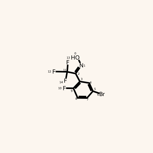 O/N=C(/c1cc(Br)ccc1F)C(F)(F)F